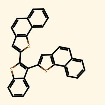 c1ccc2c(c1)ccc1cc(-c3sc4ccccc4c3-c3cc4ccc5ccccc5c4s3)sc12